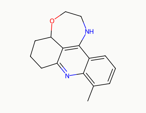 Cc1cccc2c3c4c(nc12)CCCC4OCCN3